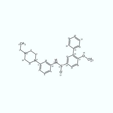 CCN1CCN(c2cccc(N[S+]([O-])c3ccc(OC)c(-c4ccccc4)c3)c2)CC1